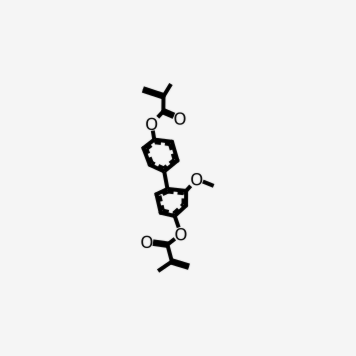 C=C(C)C(=O)Oc1ccc(-c2ccc(OC(=O)C(=C)C)cc2OC)cc1